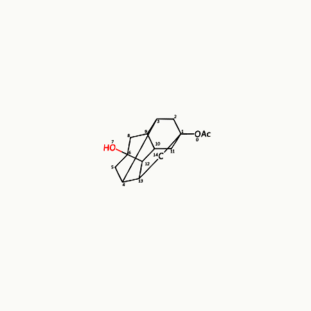 CC(=O)OC12CC3C4CC5(O)CC3C(C1)C5C4C2